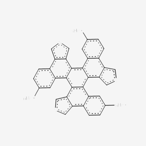 CCCCCCc1ccc2c3cscc3c3c(c2c1)c1c2cscc2c2ccc(CCCCCC)cc2c1c1c2cscc2c2ccc(CCCCCC)cc2c31